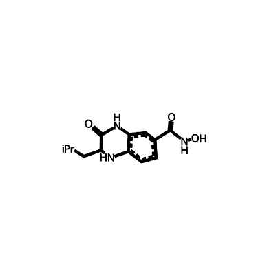 CC(C)CC1Nc2ccc(C(=O)NO)cc2NC1=O